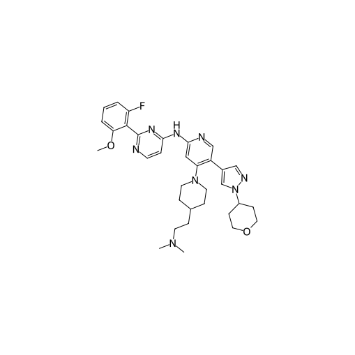 COc1cccc(F)c1-c1nccc(Nc2cc(N3CCC(CCN(C)C)CC3)c(-c3cnn(C4CCOCC4)c3)cn2)n1